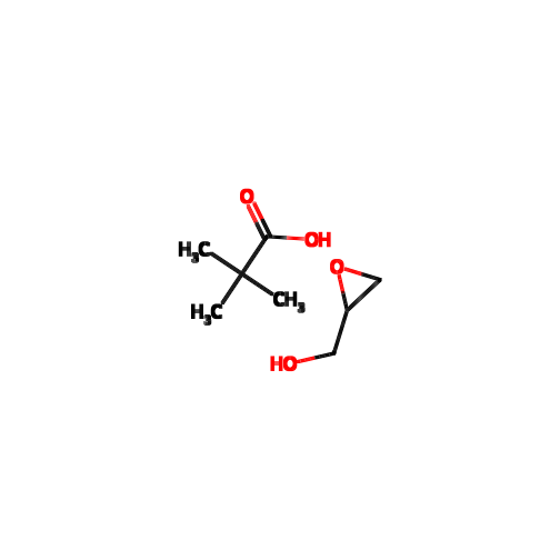 CC(C)(C)C(=O)O.OCC1CO1